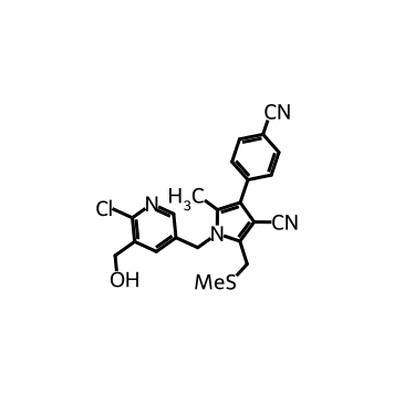 CSCc1c(C#N)c(-c2ccc(C#N)cc2)c(C)n1Cc1cnc(Cl)c(CO)c1